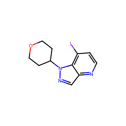 Ic1ccnc2cnn(C3CCOCC3)c12